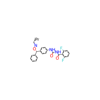 CC(C)C=NOC(c1ccccc1)c1ccc(NC(=O)NC(=O)c2c(F)cccc2F)cc1